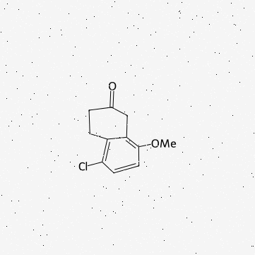 COc1ccc(Cl)c2c1CC(=O)CC2